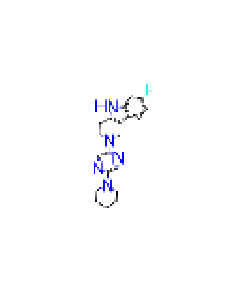 Fc1ccc2c3c([nH]c2c1)CCN(c1cnc(N2CCCCC2)cn1)C3